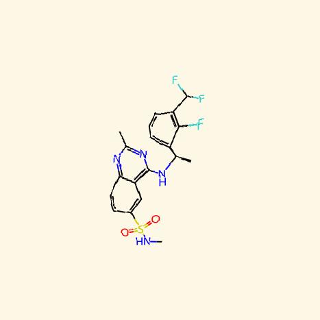 CNS(=O)(=O)c1ccc2nc(C)nc(N[C@H](C)c3cccc(C(F)F)c3F)c2c1